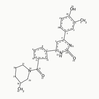 Cc1cc(-c2cc(-c3cccc(C(=O)N4CCCC(C)C4)c3)[nH]c(=O)n2)ccc1O